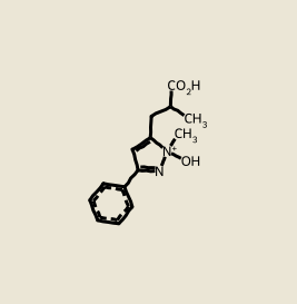 CC(CC1=CC(c2ccccc2)=N[N+]1(C)O)C(=O)O